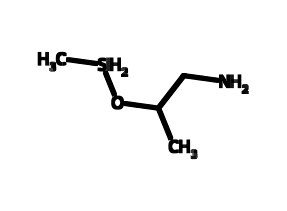 C[SiH2]OC(C)CN